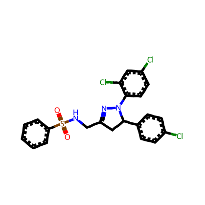 O=S(=O)(NCC1=NN(c2ccc(Cl)cc2Cl)C(c2ccc(Cl)cc2)C1)c1ccccc1